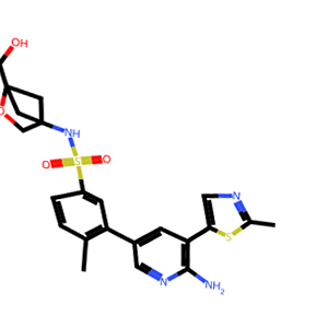 Cc1ncc(-c2cc(-c3cc(S(=O)(=O)NC45COC(CO)(C4)C5)ccc3C)cnc2N)s1